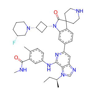 CC[C@H](C)n1cnc2cc(-c3ccc4c(c3)N([C@H]3C[C@@H](N5CCC[C@@H](F)C5)C3)C(=O)C43CCNCC3)nc(Nc3ccc(C)c(C(=O)NC)c3)c21